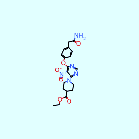 CCOC(=O)C1CCN(c2ncnc(Oc3ccc(CC(N)=O)cc3)c2[N+](=O)[O-])CC1